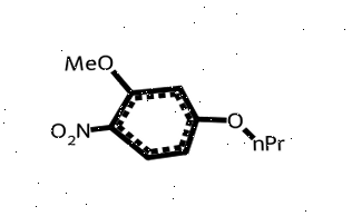 CCCOc1ccc([N+](=O)[O-])c(OC)c1